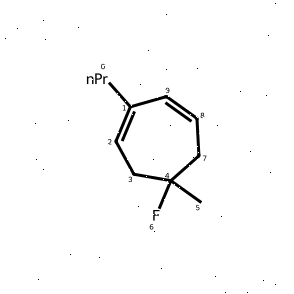 CCCC1=CCC(C)(F)CC=C1